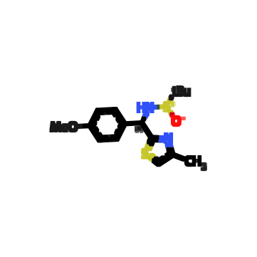 COc1ccc([C@@H](N[S+]([O-])C(C)(C)C)c2nc(C)cs2)cc1